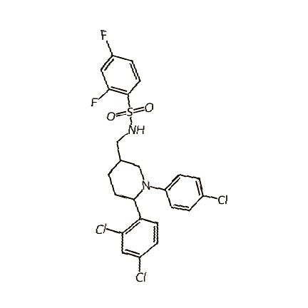 O=S(=O)(NCC1CCC(c2ccc(Cl)cc2Cl)N(c2ccc(Cl)cc2)C1)c1ccc(F)cc1F